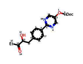 CCCCCCCCCCOc1cnc(-c2ccc(CC(O)C(=O)CC)cc2)nc1